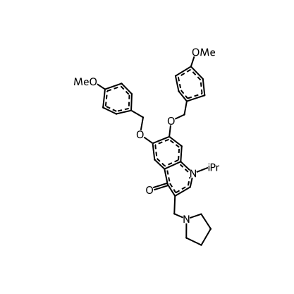 COc1ccc(COc2cc3c(=O)c(CN4CCCC4)cn(C(C)C)c3cc2OCc2ccc(OC)cc2)cc1